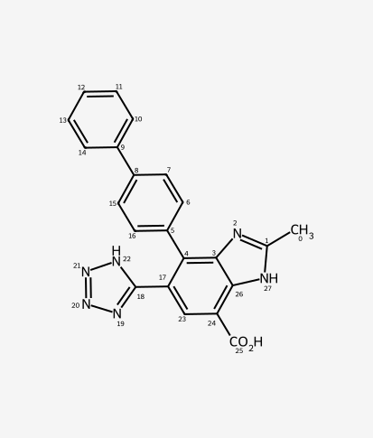 Cc1nc2c(-c3ccc(-c4ccccc4)cc3)c(-c3nnn[nH]3)cc(C(=O)O)c2[nH]1